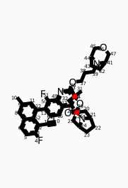 C#Cc1c(F)ccc2cc(C)cc(-c3c(Cl)cc4c(N5CC6CCC(C5)N6C(=O)OC(C)(C)C)nc(OCCCN5C6CCC5COC6)nc4c3F)c12